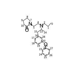 CCCN(CCN1CCCCC1=O)C(C)Cc1cccc(Oc2ccccc2)c1